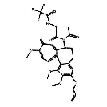 C=CCOc1cc2c(c(OC)c1OC)-c1ccc(SC)c(=O)cc1[C@@H](N(C(C)=O)C(=O)CNC(=O)C(F)(F)F)CC2